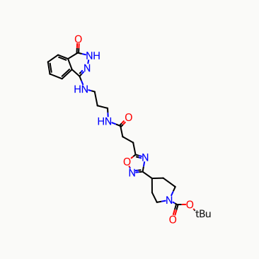 CC(C)(C)OC(=O)N1CCC(c2noc(CCC(=O)NCCCNc3n[nH]c(=O)c4ccccc34)n2)CC1